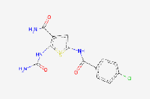 NC(=O)Nc1sc(NC(=O)c2ccc(Cl)cc2)cc1C(N)=O